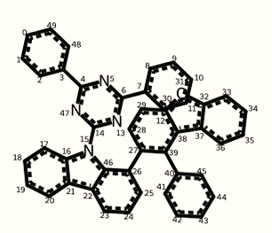 c1ccc(-c2nc(-c3ccccc3)nc(-n3c4ccccc4c4cccc(-c5ccc6oc7ccccc7c6c5-c5ccccc5)c43)n2)cc1